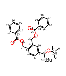 C[SiH](C)OC(c1ccc(COC(=O)c2ccccc2)c(COC(=O)c2ccccc2)c1)C(C)(C)C